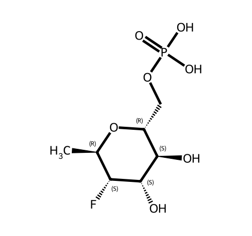 C[C@H]1O[C@H](COP(=O)(O)O)[C@@H](O)[C@H](O)[C@@H]1F